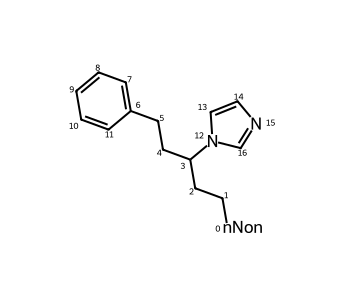 CCCCCCCCCCCC(CCc1ccccc1)n1ccnc1